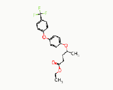 CCOC(=O)CCC(C)Oc1ccc(Oc2ccc(C(F)(F)F)cc2)cc1